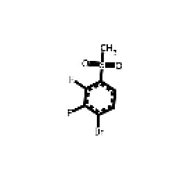 CS(=O)(=O)c1ccc(Br)c(F)c1F